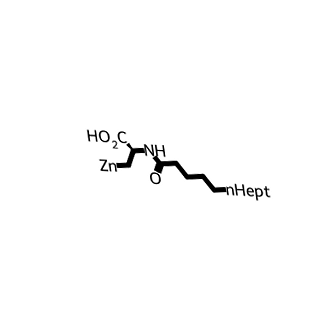 CCCCCCCCCCCC(=O)N[C@@H]([CH2][Zn])C(=O)O